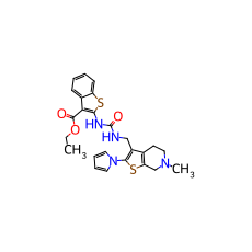 CCOC(=O)c1c(NC(=O)NCc2c(-n3cccc3)sc3c2CCN(C)C3)sc2ccccc12